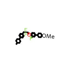 COC1CCC(c2ccc(OCC(F)(F)Cc3ccc(C4CCC(C)CC4)cc3)c(F)c2)CC1